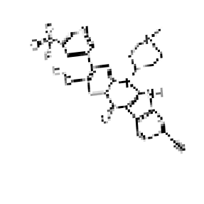 C#Cc1ccc2c(c1)[nH]c1c2c(=O)c2cc(OCC)c(-c3cncc(S(=O)(=O)F)c3)cc2n1C1CCN(C)CC1